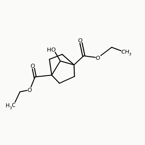 CCOC(=O)C12CCC(C(=O)OCC)(CC1)C2O